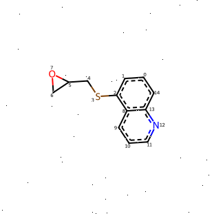 c1cc(SCC2CO2)c2cccnc2c1